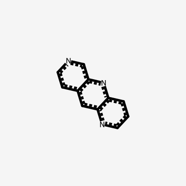 c1cnc2cc3ccncc3nc2c1